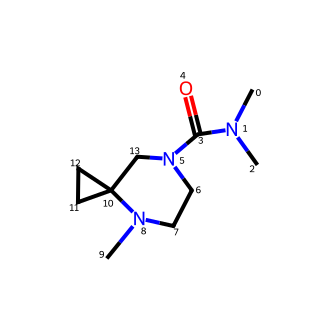 CN(C)C(=O)N1CCN(C)C2(CC2)C1